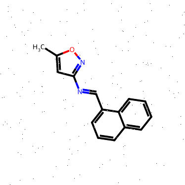 Cc1cc(N=Cc2cccc3ccccc23)no1